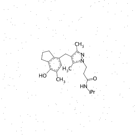 Cc1cc(Cc2c(C)nn(CCC(=O)NC(C)C)c2C)c2c(c1O)CCC2